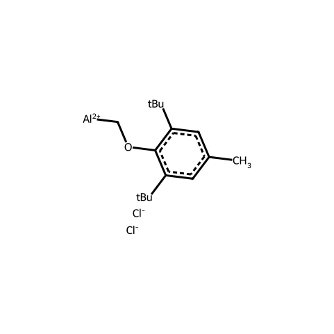 Cc1cc(C(C)(C)C)c(O[CH2][Al+2])c(C(C)(C)C)c1.[Cl-].[Cl-]